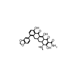 CN(C)[C@@H]1C(O)=C(C(N)=O)C(=O)C2C(O)=C3C(=O)c4c(O)ccc(-c5ccc6c(c5)OCO6)c4CC3CC21